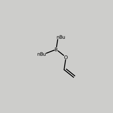 C=COB(CCCC)CCCC